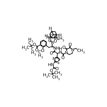 CCN1CCN(C(=O)NC(C(=O)N[C@@H](Cc2cccc(C(=O)OC(C)(C)C)c2OC)B2O[C@@H]3C[C@@H]4C[C@@H](C4(C)C)[C@]3(C)O2)c2csc(NC(=O)OC(C)(C)C)n2)C(=O)C1=O